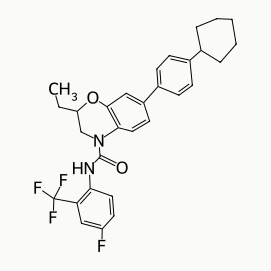 CCC1CN(C(=O)Nc2ccc(F)cc2C(F)(F)F)c2ccc(-c3ccc(C4CCCCC4)cc3)cc2O1